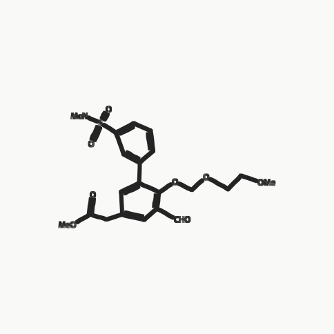 CNS(=O)(=O)c1cccc(-c2cc(CC(=O)OC)cc(C=O)c2OCOCCOC)c1